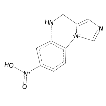 O=[N+](O)c1ccc2c(c1)NCC1=CN=C[N+]12